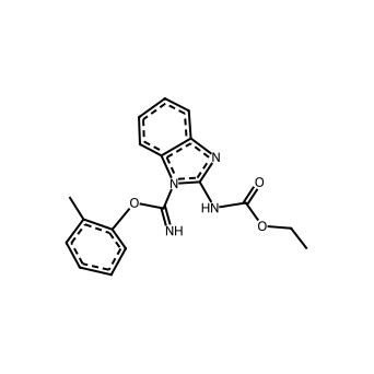 CCOC(=O)Nc1nc2ccccc2n1C(=N)Oc1ccccc1C